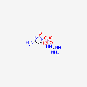 N=C(N)NOP(=O)(O)On1ccc(N)nc1=O